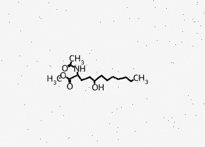 CCCCCCCC(O)CCC(NC(C)=O)C(=O)OC